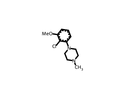 COc1cccc(N2CCN(C)CC2)c1Cl